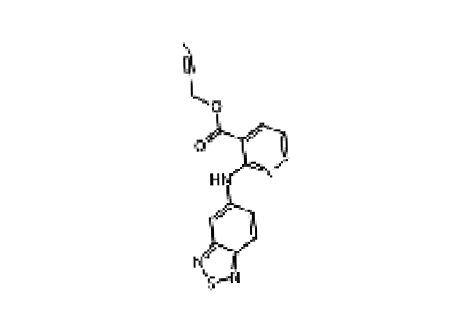 N#CCOC(=O)c1cccnc1Nc1ccc2nsnc2c1